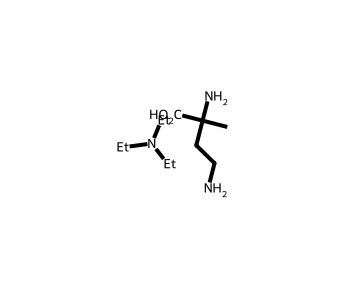 CC(N)(CCN)C(=O)O.CCN(CC)CC